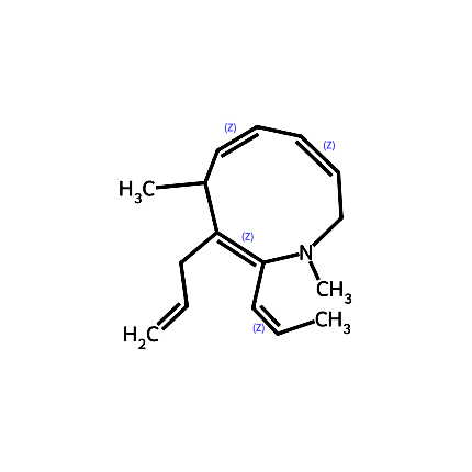 C=CC/C1=C(\C=C/C)N(C)C/C=C\C=C/C1C